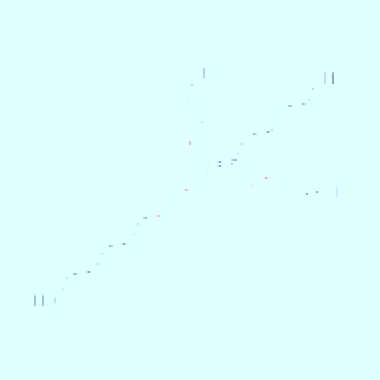 CCCCCCOCOC(OCCC)=C(CCCCC)OCCC